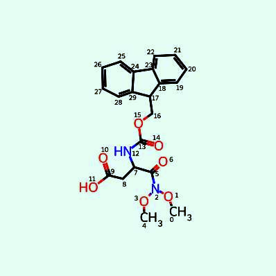 CON(OC)C(=O)C(CC(=O)O)NC(=O)OCC1c2ccccc2-c2ccccc21